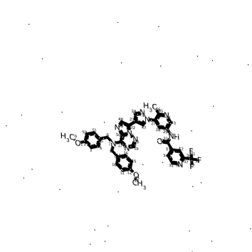 COc1ccc(CN(Cc2ccc(OC)cc2)c2ncnn3c(-c4cnn(-c5cc(NC(=O)c6ccnc(C(F)(F)F)c6)cnc5C)c4)cnc23)cc1